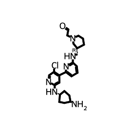 N[C@H]1CC[C@H](Nc2cc(-c3cccc(NC[C@H]4CCCN(CC=O)C4)n3)c(Cl)cn2)CC1